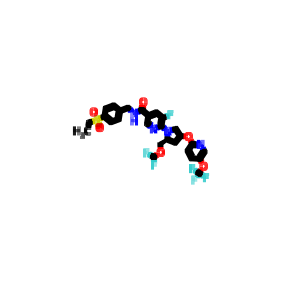 CCS(=O)(=O)c1ccc(CNC(=O)c2cnc(N3CC(Oc4ccc(OC(F)(F)F)cn4)C[C@H]3COC(F)F)c(F)c2)cc1